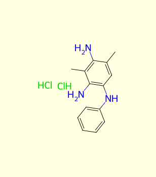 Cc1cc(Nc2ccccc2)c(N)c(C)c1N.Cl.Cl